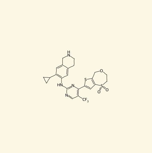 O=S1(=O)CCOCc2sc(-c3nc(Nc4cc5c(cc4C4CC4)CNCC5)ncc3C(F)(F)F)cc21